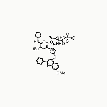 C=CC1CC1(NC(=O)[C@@H]1C[C@@H](Oc2cc(-c3ccccc3)nc3cc(OC)ccc23)CN1C(=O)CC(C(=O)NC1CCCC1)C(C)(C)C)C(=O)NS(=O)(=O)C1CC1